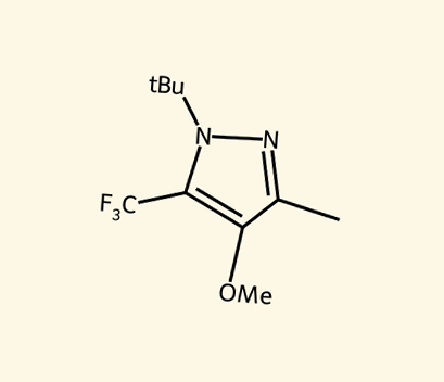 COc1c(C)nn(C(C)(C)C)c1C(F)(F)F